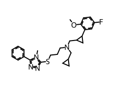 COc1ccc(F)cc1C1CC1CN(CCCSc1nnc(-c2ccccc2)n1C)CC1CC1